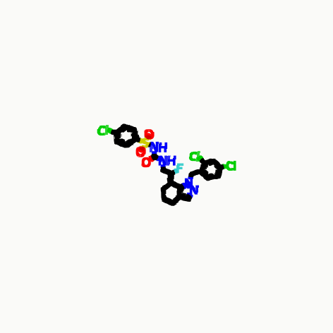 O=C(NCC(F)=C1CCCc2cnn(Cc3ccc(Cl)cc3Cl)c21)NS(=O)(=O)c1ccc(Cl)cc1